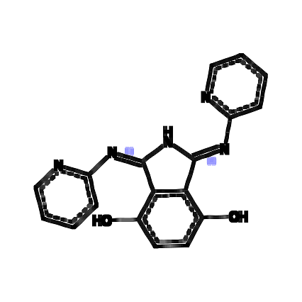 Oc1ccc(O)c2c1/C(=N/c1ccccn1)N/C2=N/c1ccccn1